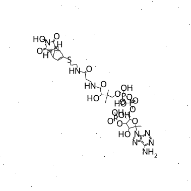 CC(C)(COP(=O)(O)OP(=O)(O)OCC1OC(C)(n2cnc3c(N)ncnc32)C(O)C1OP(=O)(O)O)C(O)C(=O)NCCC(=O)NCCSC1=CC2CC1[C@@H]1C(=O)N(O)C(=O)[C@H]21